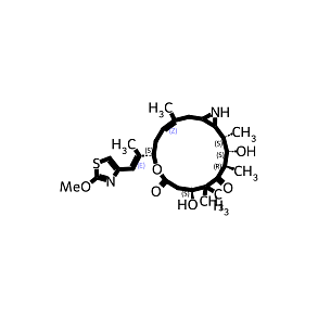 COc1nc(/C=C(\C)[C@@H]2C/C=C(/C)CC3NC3[C@H](C)[C@H](O)[C@@H](C)C(=O)C(C)(C)[C@@H](O)CC(=O)O2)cs1